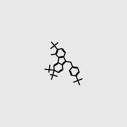 Cc1c(C(C)(C)C)ccc2c1C1=CC(C(C)(C)C)(C(C)(C)C)C=CC1=C2Cc1ccc(C(C)(C)C)cc1